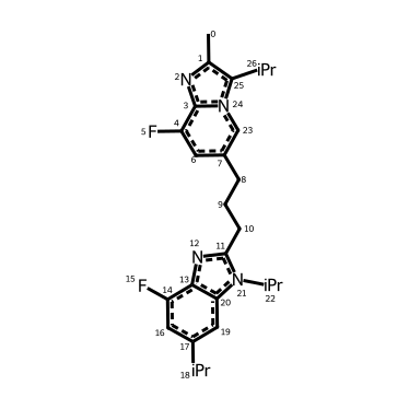 Cc1nc2c(F)cc(CCCc3nc4c(F)cc(C(C)C)cc4n3C(C)C)cn2c1C(C)C